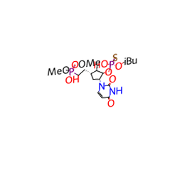 CCC(C)OP(O)(=S)O[C@@H]1[C@H](OC)[C@@H](CCP(=O)(O)OC)C[C@H]1n1ccc(=O)[nH]c1=O